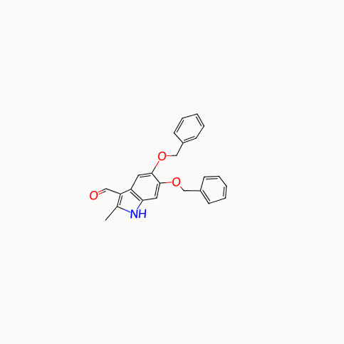 Cc1[nH]c2cc(OCc3ccccc3)c(OCc3ccccc3)cc2c1C=O